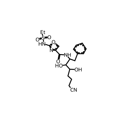 CCS(=O)(=O)Nc1nc(C(=O)NC(Cc2ccccc2)C(O)C(O)CCCC#N)co1